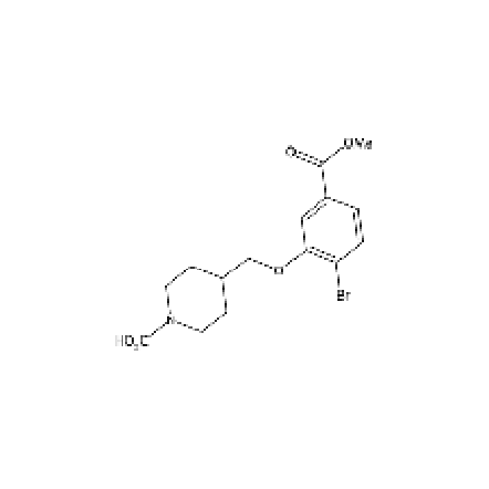 COC(=O)c1ccc(Br)c(OCC2CCN(C(=O)O)CC2)c1